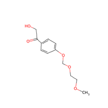 COCCOCOc1ccc(C(=O)CO)cc1